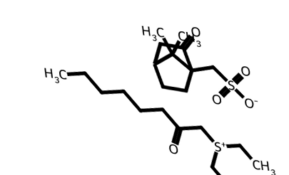 CC1(C)C2CCC1(CS(=O)(=O)[O-])C(=O)C2.CCCCCCC(=O)C[S+](CC)CC